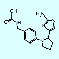 Nc1nc(C2CCCN2c2ccc(CNC(=O)O)cc2)cs1